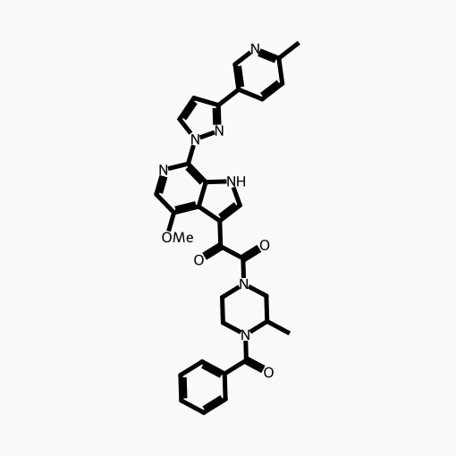 COc1cnc(-n2ccc(-c3ccc(C)nc3)n2)c2[nH]cc(C(=O)C(=O)N3CCN(C(=O)c4ccccc4)C(C)C3)c12